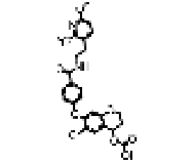 COc1ccc(CCNC(=O)c2ccc(Oc3cc4c(cc3Cl)C(OC(=O)O)CCO4)cc2)c(OC)n1